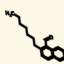 CCCCCCCc1ccc2ccccc2c1[C]=O